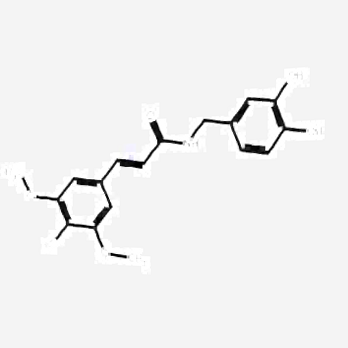 COc1cc(/C=C/C(=O)NCc2ccc(O)c(O)c2)cc(OC)c1O